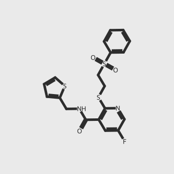 O=C(NCc1cccs1)c1cc(F)cnc1SCCS(=O)(=O)c1ccccc1